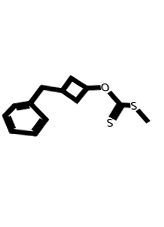 CSC(=S)OC1CC(Cc2ccccc2)C1